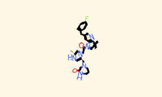 C[C@@H]1CN(CC(=O)N2CC(C)(C)c3ncc(Cc4ccc(F)cc4)cc32)[C@@H](CN2CCCNC(=O)C2)CN1